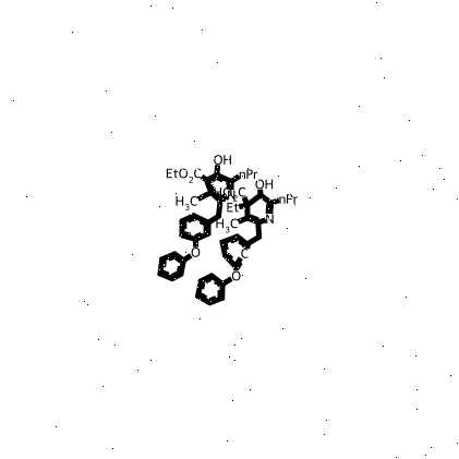 CCCC1=NC(Cc2cccc(Oc3ccccc3)c2)=C(C)C(CC)(C(=O)O)C1O.CCCc1nc(Cc2cccc(Oc3ccccc3)c2)c(C)c(C(=O)OCC)c1O